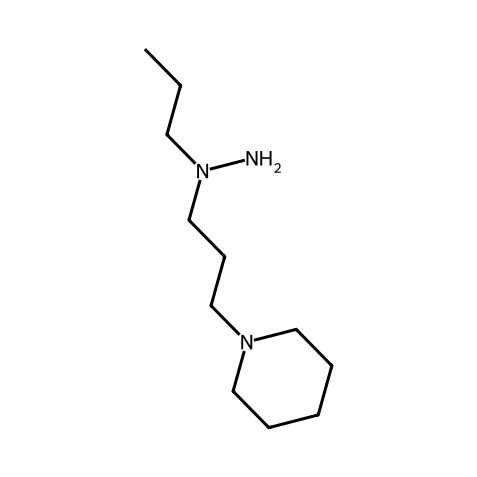 CCCN(N)CCCN1CCCCC1